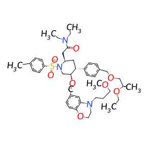 CCO[C@H](C)COCc1ccc([C@H]2C[C@H](CC(=O)N(CC)CC)N(S(=O)(=O)c3ccc(C)cc3)C[C@@H]2OCc2ccc3c(c2)N(CCCOC)CCO3)cc1